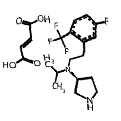 CC(C)N(CCc1cc(F)ccc1C(F)(F)F)[C@H]1CCNC1.O=C(O)/C=C/C(=O)O